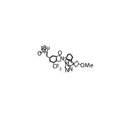 COC1CC(c2cccc(N3Cc4c(cc(C=N[S+]([O-])C(C)(C)C)cc4C(F)(F)F)C3=O)c2)(c2nncn2C)C1